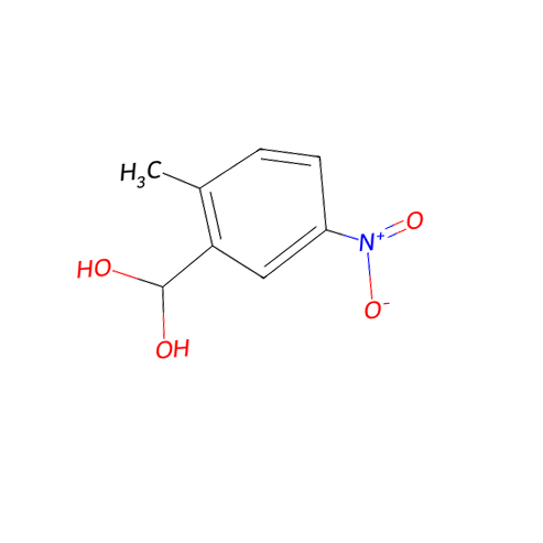 Cc1ccc([N+](=O)[O-])cc1C(O)O